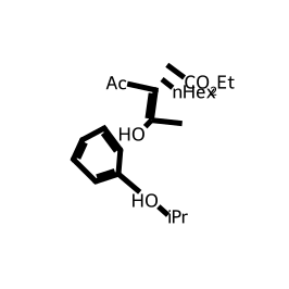 CC(=O)/C=C(/C)O.CC(C)O.CCCCCCC.CCOC(C)=O.Cc1ccccc1